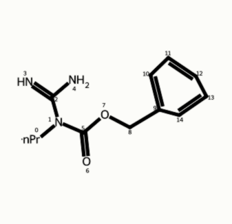 CC[CH]N(C(=N)N)C(=O)OCc1ccccc1